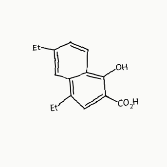 CCc1ccc2c(O)c(C(=O)O)cc(CC)c2c1